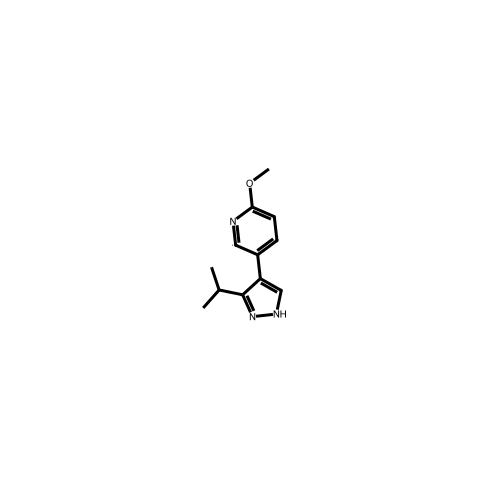 COc1ccc(-c2c[nH]nc2C(C)C)[c]n1